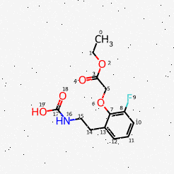 CCOC(=O)COc1c(F)cccc1CCNC(=O)O